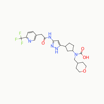 O=C(Cc1ccc(C(F)(F)F)nc1)Nc1cc(C2CCC(N(CC3CCOCC3)C(=O)O)C2)[nH]n1